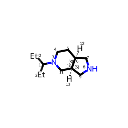 CCC(CC)N1CC[C@H]2CNC[C@H]2C1